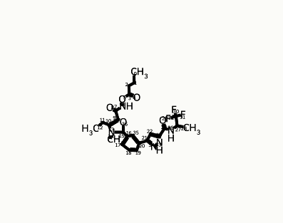 CCCC(=O)ONC(=O)C1=C(CC)N(C)C(c2cccc(-c3cc(C(=O)NC(C)C(F)(F)F)[nH]n3)c2)O1